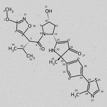 COc1cc([C@H](C(=O)N2C[C@H](O)C[C@@H]2C2=CC(=O)[C@](C)(c3ccc(-c4scnc4C)cc3)N2)C(C)C)on1